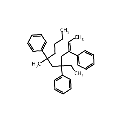 CC=C(CC(CC)(CC(C)(CCCC)c1ccccc1)c1ccccc1)c1ccccc1